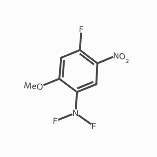 COc1cc(F)c([N+](=O)[O-])cc1N(F)F